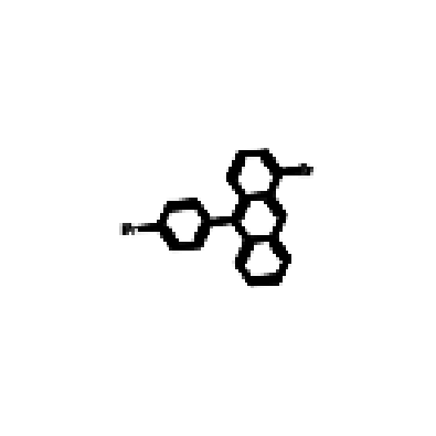 CC(C)c1ccc(-c2c3ccccc3cc3c(Br)cccc23)cc1